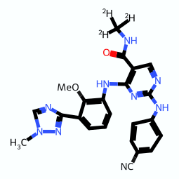 [2H]C([2H])([2H])NC(=O)c1cnc(Nc2ccc(C#N)cc2)nc1Nc1cccc(-c2ncn(C)n2)c1OC